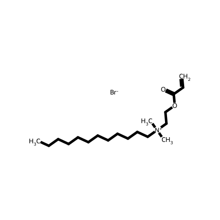 C=CC(=O)OCC[N+](C)(C)CCCCCCCCCCCC.[Br-]